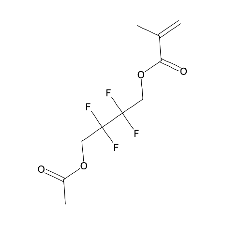 C=C(C)C(=O)OCC(F)(F)C(F)(F)COC(C)=O